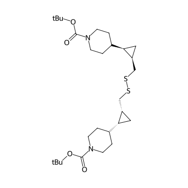 CC(C)(C)OC(=O)N1CCC([C@H]2C[C@H]2CSSC[C@@H]2C[C@@H]2C2CCN(C(=O)OC(C)(C)C)CC2)CC1